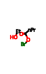 CCCC(=O)OBr.CCO